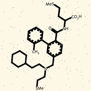 CSCCC(NC(=O)c1ccc(CN(CCSC)CCC2CCCCC2)cc1-c1ccccc1C)C(=O)O